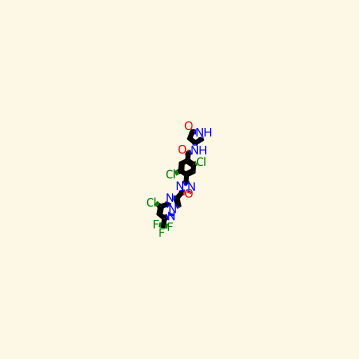 O=C1CC(NC(=O)c2cc(Cl)c(-c3noc(-c4cn5nc(C(F)(F)F)cc(Cl)c5n4)n3)cc2Cl)CN1